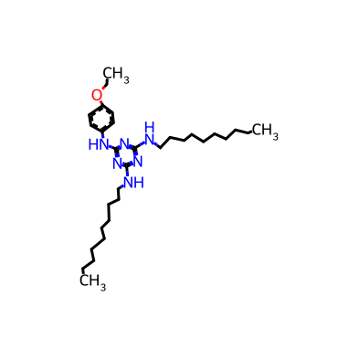 CCCCCCCCCCNc1nc(NCCCCCCCCCC)nc(Nc2ccc(OCC)cc2)n1